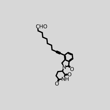 O=CCCCCCCCC#Cc1cccc2c1CN(C1CCC(=O)NC1=O)C2=O